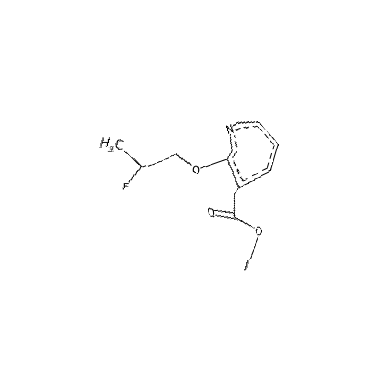 CC(F)COc1ncccc1C(=O)OI